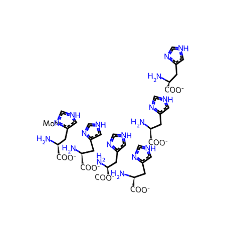 N[C@@H](Cc1c[nH]cn1)C(=O)[O-].N[C@@H](Cc1c[nH]cn1)C(=O)[O-].N[C@@H](Cc1c[nH]cn1)C(=O)[O-].N[C@@H](Cc1c[nH]cn1)C(=O)[O-].N[C@@H](Cc1c[nH]cn1)C(=O)[O-].N[C@@H](Cc1c[nH]cn1)C(=O)[O-].[Mo+6]